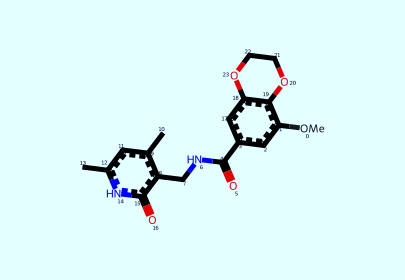 COc1cc(C(=O)NCc2c(C)cc(C)[nH]c2=O)cc2c1OCCO2